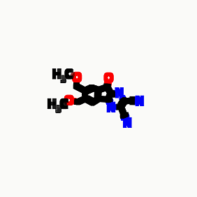 COCc1cc2c(cc1COC)-c1nc(C#N)c(C#N)nc1C2=O